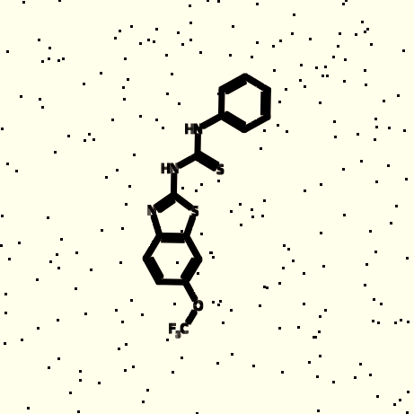 FC(F)(F)Oc1ccc2nc(NC(=S)Nc3ccccc3)sc2c1